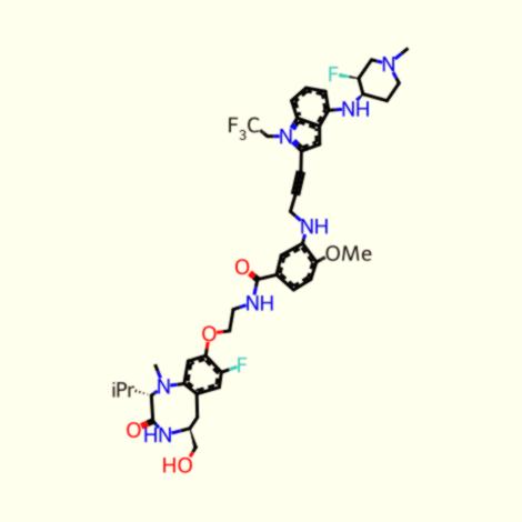 COc1ccc(C(=O)NCCOc2cc3c(cc2F)C[C@@H](CO)NC(=O)[C@H](C(C)C)N3C)cc1NCC#Cc1cc2c(N[C@@H]3CCN(C)C[C@@H]3F)cccc2n1CC(F)(F)F